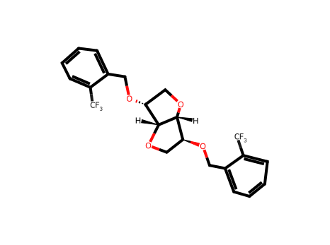 FC(F)(F)c1ccccc1CO[C@H]1CO[C@H]2[C@@H]1OC[C@H]2OCc1ccccc1C(F)(F)F